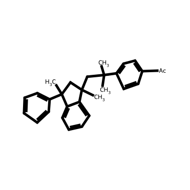 CC(=O)c1ccc(C(C)(C)CC2(C)CC(C)(c3ccccc3)c3ccccc32)cc1